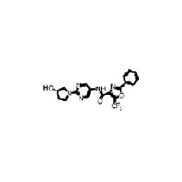 O=C(Nc1cnc(N2CC[C@@H](O)C2)nc1)c1nc(-c2ccccc2)oc1C(F)(F)F